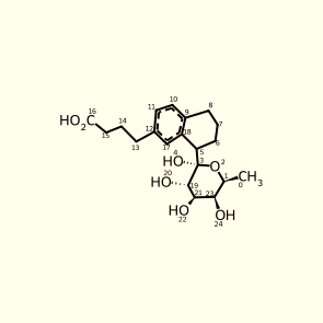 C[C@@H]1O[C@](O)(C2CCCc3ccc(CCCC(=O)O)cc32)[C@@H](O)[C@H](O)[C@@H]1O